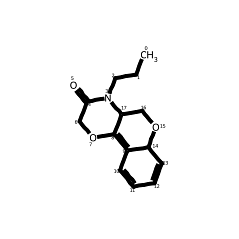 CCCN1C(=O)COC2=C3C=CC=CC3OCC21